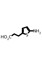 Nc1ccc(CCC(=O)O)s1